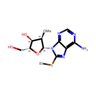 CCSc1nc2c(N)ncnc2n1[C@@H]1O[C@H](CO)[C@@H](O)[C@H]1OC